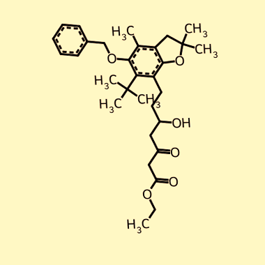 CCOC(=O)CC(=O)CC(O)CCc1c2c(c(C)c(OCc3ccccc3)c1C(C)(C)C)CC(C)(C)O2